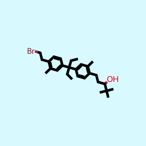 CCC(CC)(c1ccc(CCBr)c(C)c1)c1ccc(CCC(O)C(C)(C)C)c(C)c1